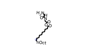 CCCCCCCC/C=C\CCCCCCCC(=O)OC(=O)CNC(=O)CN